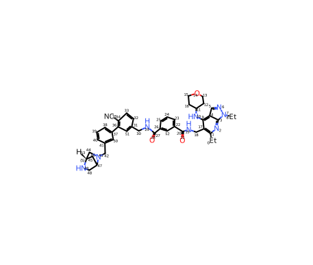 CCc1nc2c(cnn2CC)c(NC2CCOCC2)c1CNC(=O)c1cccc(C(=O)NCc2ccc(C#N)c(-c3cccc(CN4C[C@@H]5CC4CN5)c3)c2)c1